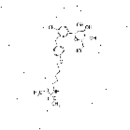 COP(=O)(NCCCCCOc1ccc(Cc2cc([C@@H]3O[C@H](CO)[C@@H](O)[C@H](O)[C@H]3O)ccc2Cl)cc1)OC